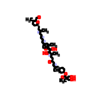 CC1=C(C=O)O[C@H](CC/C(C)=C/C=C/C=C/[C@@H](C)C[C@@H](C)C(=O)[C@H](O)[C@H](O)/C(C)=C/CC(=O)/C=C/[C@H](C)C[C@H]2CC[C@H](OC(=O)C(C)(CO)CO)CC2)CC1